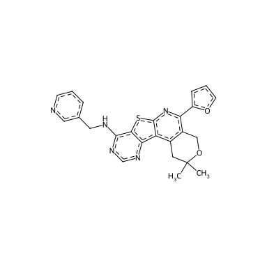 CC1(C)Cc2c(c(-c3ccco3)nc3sc4c(NCc5cccnc5)ncnc4c23)CO1